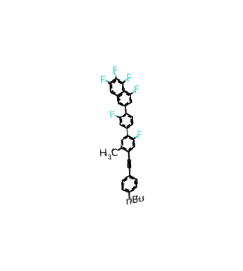 CCCCc1ccc(C#Cc2cc(F)c(-c3ccc(-c4cc(F)c5c(F)c(F)c(F)cc5c4)c(F)c3)cc2C)cc1